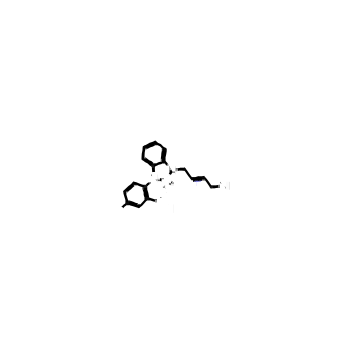 Cl.NC/C=C/CN1c2ccccc2N(c2ccc(F)cc2F)S1(=O)=O